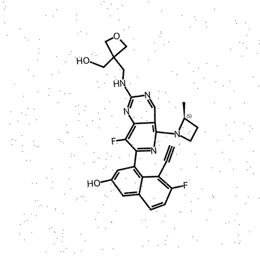 C#Cc1c(F)ccc2cc(O)cc(-c3nc(N4CC[C@@H]4C)c4cnc(NCC5(CO)COC5)nc4c3F)c12